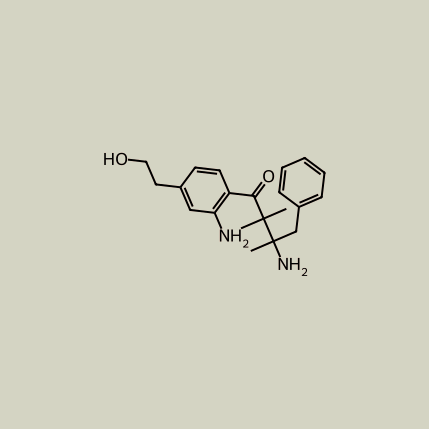 CC(N)(Cc1ccccc1)C(C)(C)C(=O)c1ccc(CCO)cc1N